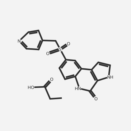 CCC(=O)O.O=c1[nH]c2ccc(S(=O)(=O)Cc3ccncc3)cc2c2cc[nH]c12